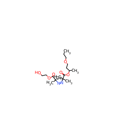 CCCOCCC(C)OC(=O)C(C)(C)/N=N\C(C)(C)C(=O)OCCO